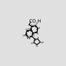 O=C(O)Cc1cccc2c(C3CCCC3)nccc12